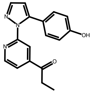 CCC(=O)c1ccnc(-n2nccc2-c2ccc(O)cc2)c1